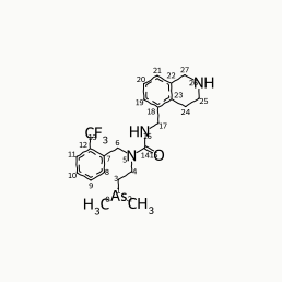 C[As](C)CCN(Cc1ccccc1C(F)(F)F)C(=O)NCc1cccc2c1CCNC2